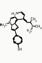 CC(/C=C(\C=C/N)C1=C2CC(c3ccc(S)cc3)=CC2N(C)C=C1)P(C)C